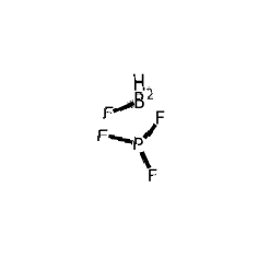 BF.FP(F)F